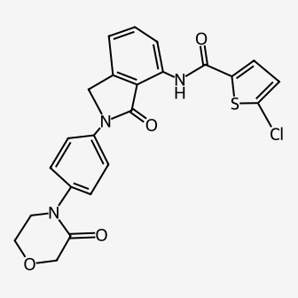 O=C(Nc1cccc2c1C(=O)N(c1ccc(N3CCOCC3=O)cc1)C2)c1ccc(Cl)s1